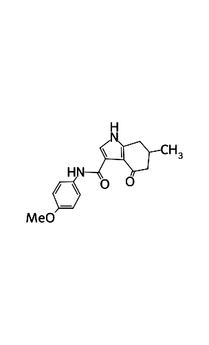 COc1ccc(NC(=O)c2c[nH]c3c2C(=O)CC(C)C3)cc1